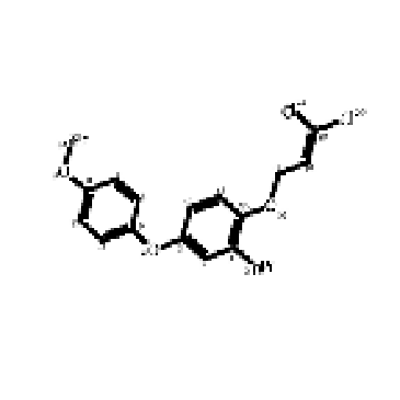 CCCc1cc(Oc2ccc(OC(C)C)cc2)ccc1OCC=C(Cl)Cl